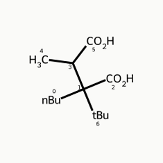 CCCCC(C(=O)O)(C(C)C(=O)O)C(C)(C)C